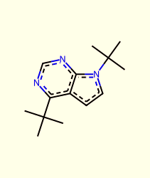 CC(C)(C)c1ncnc2c1ccn2C(C)(C)C